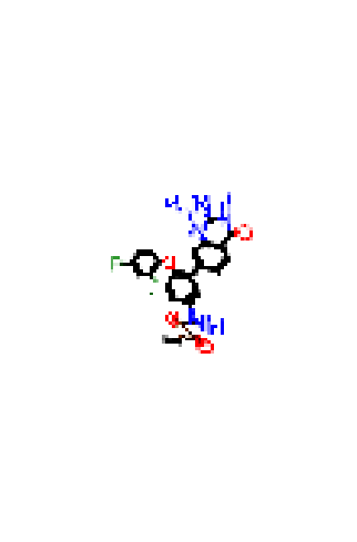 CCS(=O)(=O)Nc1ccc(Oc2ccc(F)cc2F)c(-c2ccc3c(=O)[nH]c(N)nc3c2)c1